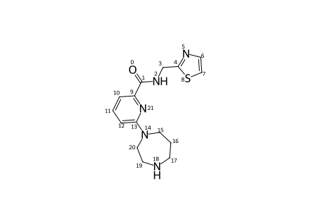 O=C(NCc1nccs1)c1cccc(N2CCCNCC2)n1